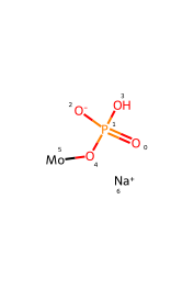 O=P([O-])(O)[O][Mo].[Na+]